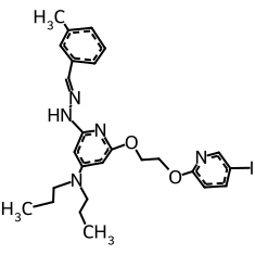 CCCN(CCC)c1cc(N/N=C/c2cccc(C)c2)nc(OCCOc2ccc(I)cn2)c1